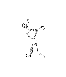 C#CCN(CCC)Cc1ccc([N+](=O)[O-])cc1Cl